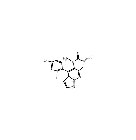 Cc1nc2nccn2c(-c2ccc(Cl)cc2Cl)c1N(N)C(=O)OC(C)(C)C